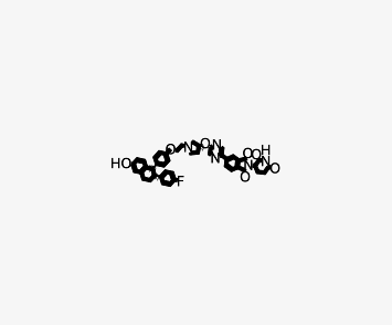 O=C1CCC(N2C(=O)c3ccc(-c4cnc(O[C@@H]5CCN(CCOc6ccc([C@@H]7c8ccc(O)cc8CC[C@@H]7c7ccc(F)cc7)cc6)C5)cn4)cc3C2=O)C(=O)N1